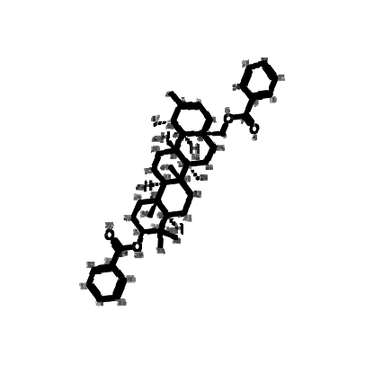 CC1=CC[C@]2(COC(=O)c3ccccc3)CC[C@]3(C)[C@H](CC[C@@H]4[C@@]5(C)CC[C@H](OC(=O)c6ccccc6)C(C)(C)[C@@H]5CC[C@]43C)[C@H]2[C@@H]1C